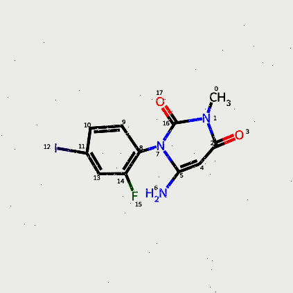 Cn1c(=O)cc(N)n(-c2ccc(I)cc2F)c1=O